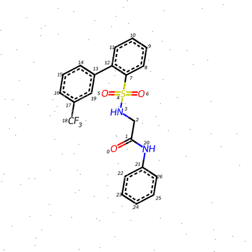 O=C(CNS(=O)(=O)c1ccccc1-c1cccc(C(F)(F)F)c1)Nc1ccccc1